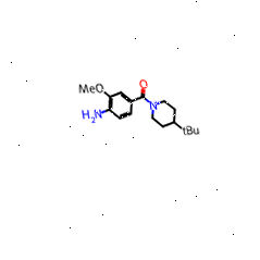 COc1cc(C(=O)N2CCC(C(C)(C)C)CC2)ccc1N